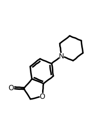 O=C1COc2cc(N3CCCCC3)ccc21